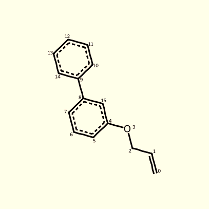 C=CCOc1cccc(-c2ccccc2)c1